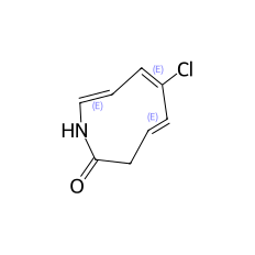 O=C1C/C=C/C(Cl)=C\C=C\N1